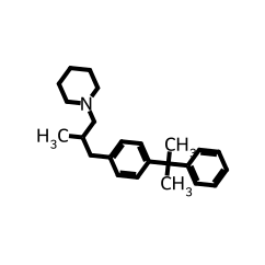 CC(Cc1ccc(C(C)(C)c2ccccc2)cc1)CN1CCCCC1